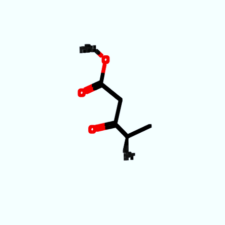 CCCCOC(=O)CC(=O)[C@@H](C)C(C)C